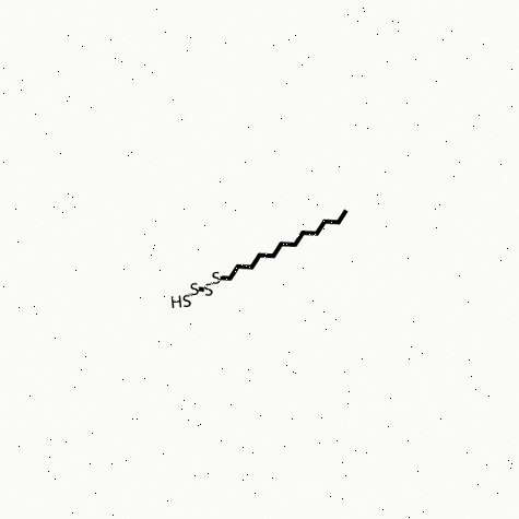 CCCCCCCCCCCCSSSS